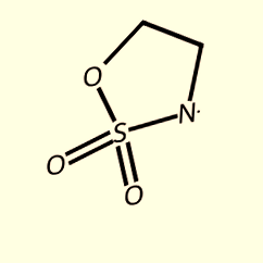 O=S1(=O)[N]CCO1